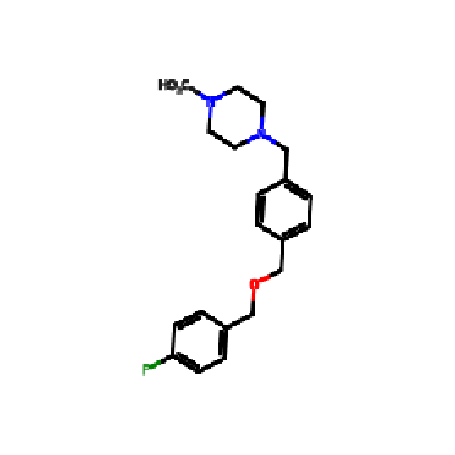 O=C(O)N1CCN(Cc2ccc(COCc3ccc(F)cc3)cc2)CC1